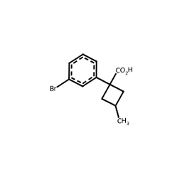 CC1CC(C(=O)O)(c2cccc(Br)c2)C1